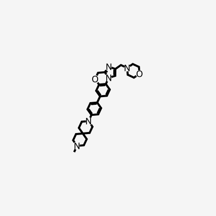 CN1CCC2(CC1)CCN(c1ccc(-c3ccc4c(c3)OCc3nc(CN5CCOCC5)cn3-4)cc1)CC2